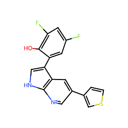 Oc1c(F)cc(F)cc1-c1c[nH]c2ncc(-c3ccsc3)cc12